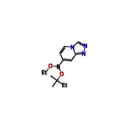 CCOB(OC(C)(C)CC)c1ccn2cnnc2c1